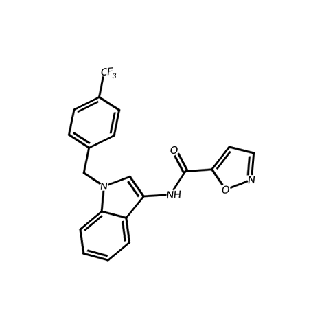 O=C(Nc1cn(Cc2ccc(C(F)(F)F)cc2)c2ccccc12)c1ccno1